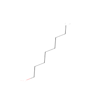 CCCCCCC[CH]CCCO